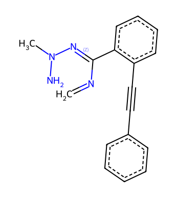 C=N/C(=N\N(C)N)c1ccccc1C#Cc1ccccc1